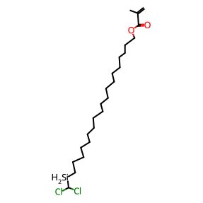 C=C(C)C(=O)OCCCCCCCCCCCCCCCCCCC[SiH2]C(Cl)Cl